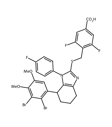 COc1cc(C2CCCc3nc(SCc4c(F)cc(C(=O)O)cc4F)n(-c4ccc(F)cc4)c32)c(Br)c(Br)c1OC